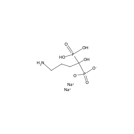 NCCCC(O)(P(=O)([O-])[O-])P(=O)(O)O.[Na+].[Na+]